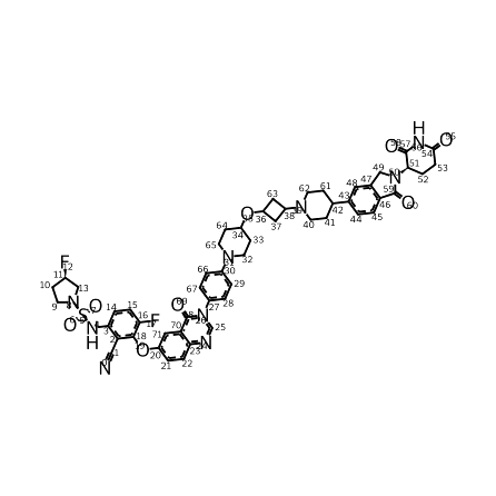 N#Cc1c(NS(=O)(=O)N2CC[C@@H](F)C2)ccc(F)c1Oc1ccc2ncn(-c3ccc(N4CCC(OC5CC(N6CCC(c7ccc8c(c7)CN([C@@H]7CCC(=O)NC7=O)C8=O)CC6)C5)CC4)cc3)c(=O)c2c1